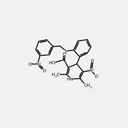 CC1=C(C(=O)O)C(c2ccccc2SCc2cccc([N+](=O)[O-])c2)C([N+](=O)[O-])=C(C)N1